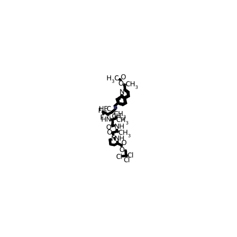 CC(=O)O[C@H](C)c1ccc2ccc(/C=C/C(C)(C)[C@H](NC(C(=O)NC(C)C(=O)N3CCCC(C(=O)OCC(Cl)(Cl)Cl)N3)C(C)C)C(F)(F)F)cc2n1